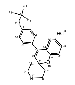 Cl.FC(F)(F)Oc1ccc(C2=CC3(CCNCC3)Oc3ccccc32)cc1